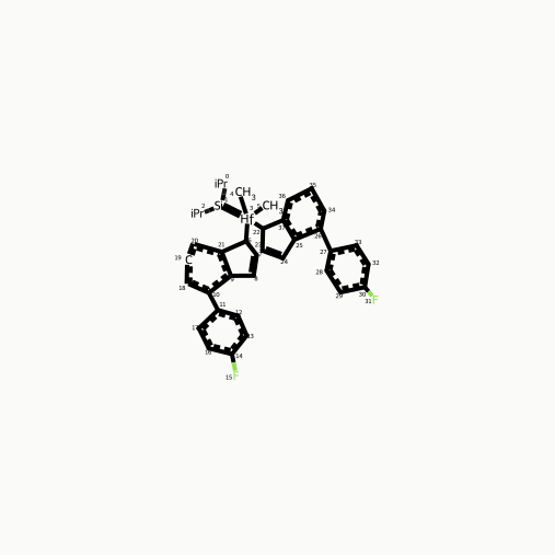 CC(C)[Si](C(C)C)=[Hf]([CH3])([CH3])([CH]1C=Cc2c(-c3ccc(F)cc3)cccc21)[CH]1C=Cc2c(-c3ccc(F)cc3)cccc21